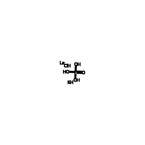 Cl.O=P(O)(O)O.[KH].[La]